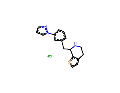 Cl.c1cc(CC2NCCc3ccsc32)cc(-n2cccn2)c1